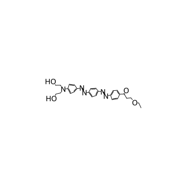 CCOCCC(=O)c1ccc(N=Nc2ccc(N=Nc3ccc(N(CCO)CCO)cc3)cc2)cc1